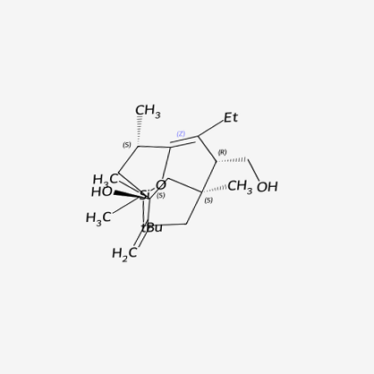 C=C1C[C@@]2(C)C[C@@]1(O)C[C@H](C)/C(O[Si](C)(C)C(C)(C)C)=C(\CC)[C@@H]2CO